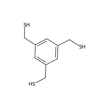 SCc1[c]c(CS)cc(CS)c1